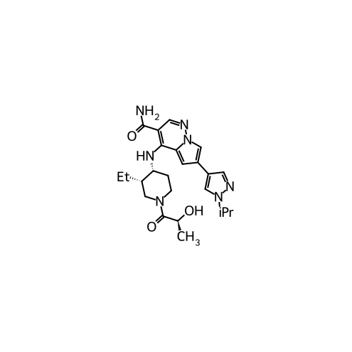 CC[C@H]1CN(C(=O)[C@H](C)O)CC[C@H]1Nc1c(C(N)=O)cnn2cc(-c3cnn(C(C)C)c3)cc12